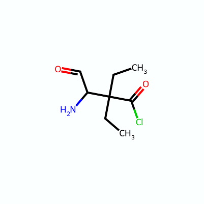 CCC(CC)(C(=O)Cl)C(N)C=O